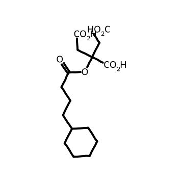 O=C(O)CC(CC(=O)O)(OC(=O)CCCC1CCCCC1)C(=O)O